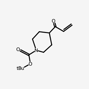 C=CC(=O)C1CCN(C(=O)OC(C)(C)C)CC1